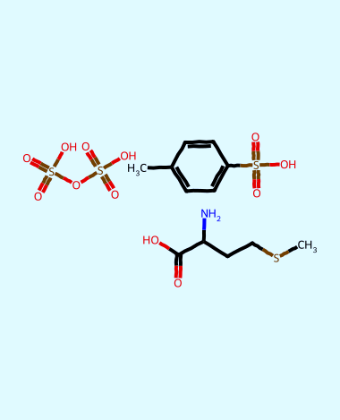 CSCCC(N)C(=O)O.Cc1ccc(S(=O)(=O)O)cc1.O=S(=O)(O)OS(=O)(=O)O